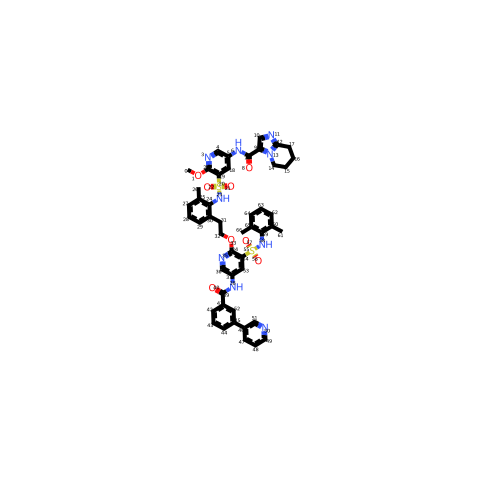 COc1ncc(NC(=O)c2cnc3n2CCCC3)cc1S(=O)(=O)Nc1c(C)cccc1CCOc1ncc(NC(=O)c2cccc(-c3cccnc3)c2)cc1S(=O)(=O)Nc1c(C)cccc1C